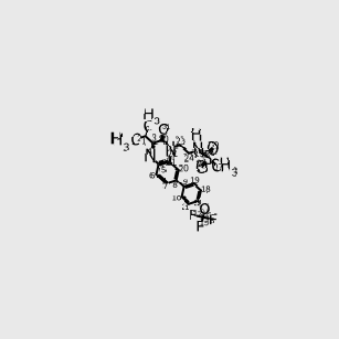 CC(C)c1nc2ccc(-c3ccc(OC(F)(F)F)cc3)cc2n(CCNS(C)(=O)=O)c1=O